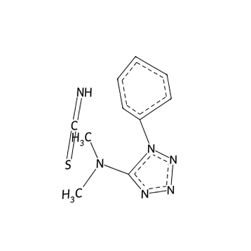 CN(C)c1nnnn1-c1ccccc1.N=C=S